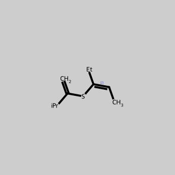 C=C(S/C(=C\C)CC)C(C)C